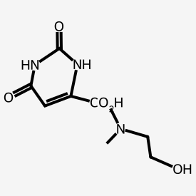 CN(C)CCO.O=C(O)c1cc(=O)[nH]c(=O)[nH]1